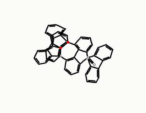 O=S12(c3ccccc3-c3ccccc31)c1cccc(-n3c4ccccc4c4ccccc43)c1-c1c(-n3c4ccccc4c4ccccc43)cccc12